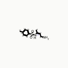 C/C(=C/CN)NS(=O)(=O)c1ccc(C)cc1